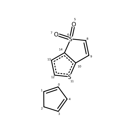 C1=CCC=C1.O=S1(=O)C=Cc2sccc21